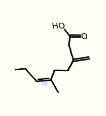 C=C(CC/C(C)=C\CC)CC(=O)O